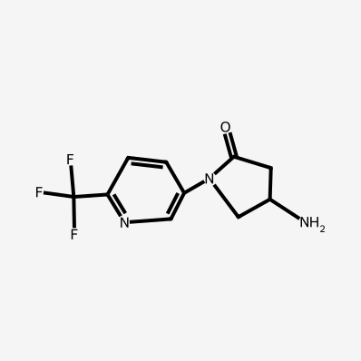 NC1CC(=O)N(c2ccc(C(F)(F)F)nc2)C1